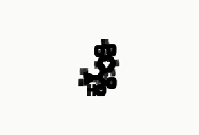 O=C(O)C(c1ccc2c(c1)OCO2)C1CC1